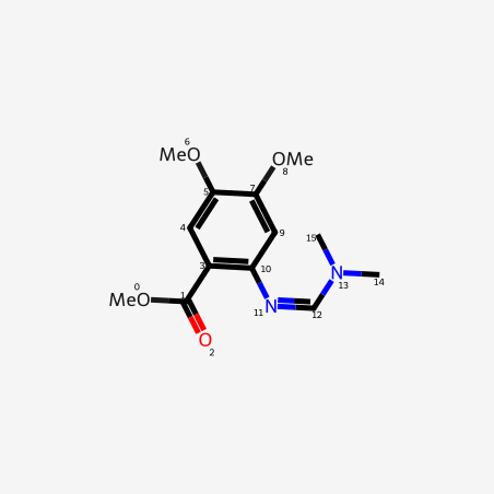 COC(=O)c1cc(OC)c(OC)cc1/N=C\N(C)C